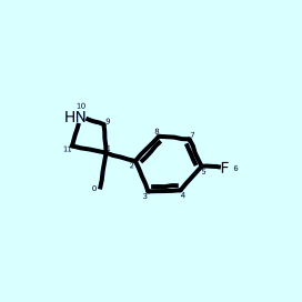 CC1(c2ccc(F)cc2)CNC1